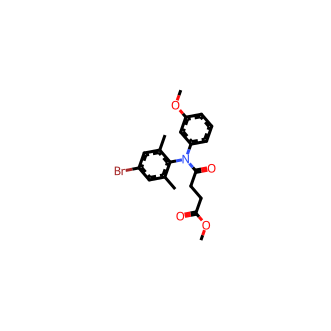 COC(=O)CCC(=O)N(c1cccc(OC)c1)c1c(C)cc(Br)cc1C